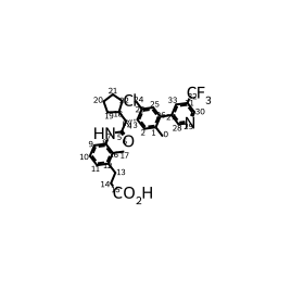 Cc1cc([C@H](C(=O)Nc2cccc(CCC(=O)O)c2C)C2CCCC2)c(Cl)cc1-c1cncc(C(F)(F)F)c1